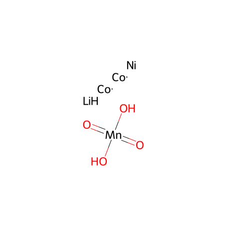 [Co].[Co].[LiH].[Ni].[O]=[Mn](=[O])([OH])[OH]